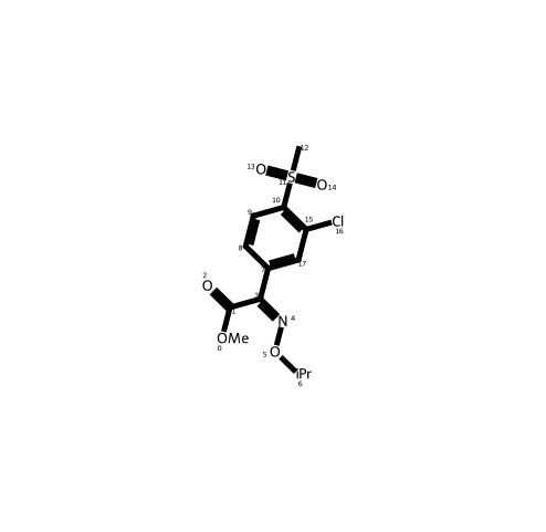 COC(=O)C(=NOC(C)C)c1ccc(S(C)(=O)=O)c(Cl)c1